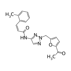 CC(=O)c1ccc(Cn2ncc(NC(=O)/C=C\c3ccccc3C)n2)o1